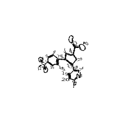 COC(=O)C1CC(c2ccc(S(C)(=O)=O)cc2)=C(c2ccc(F)nc2)C1